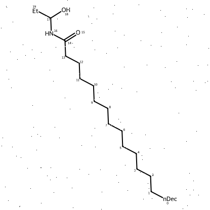 CCCCCCCCCCCCCCCCCCCCCCCC(=O)NC(O)CC